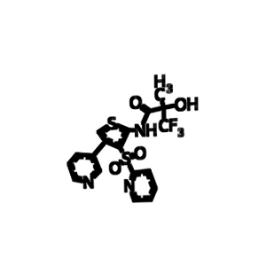 CC(O)(C(=O)Nc1scc(-c2cccnc2)c1S(=O)(=O)c1ccccn1)C(F)(F)F